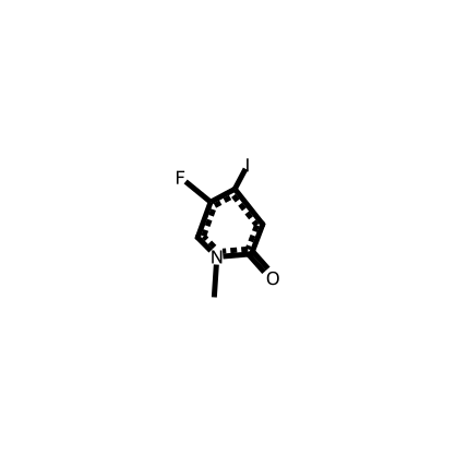 Cn1cc(F)c(I)cc1=O